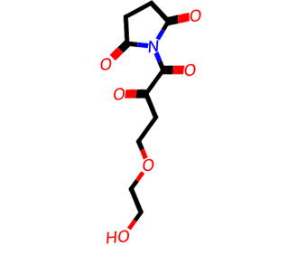 O=C(CCOCCO)C(=O)N1C(=O)CCC1=O